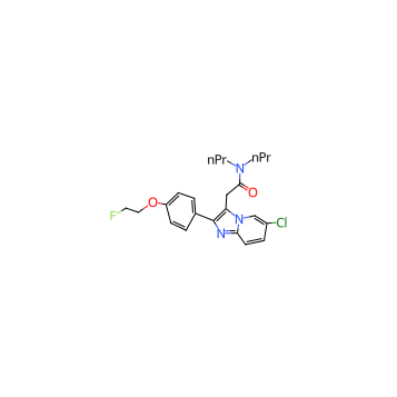 CCCN(CCC)C(=O)Cc1c(-c2ccc(OCCF)cc2)nc2ccc(Cl)cn12